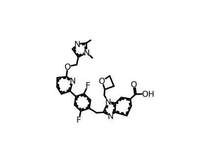 Cc1ncc(COc2cccc(-c3cc(F)c(Cc4nc5ccc(C(=O)O)cc5n4CC4CCO4)cc3F)n2)n1C